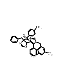 Cc1ccc(S(=O)(=O)C2(Cc3ccccc3)N=COC2c2nnn(Cc3cc(C(F)(F)F)cc(C(F)(F)F)c3)c2-c2ccccc2)cc1